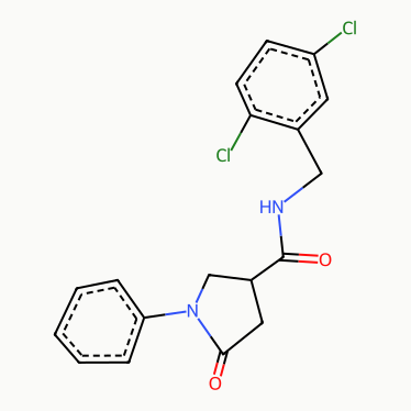 O=C(NCc1cc(Cl)ccc1Cl)C1CC(=O)N(c2ccccc2)C1